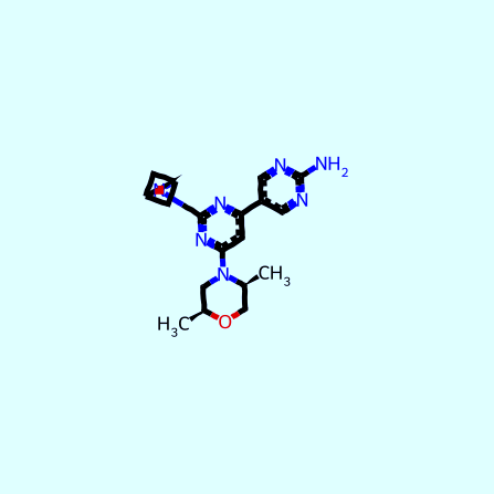 C[C@H]1CN(c2cc(-c3cnc(N)nc3)nc(N3CC4CC3C4)n2)[C@@H](C)CO1